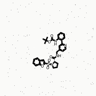 CC(C)(C)OC(=O)Nc1ccccc1-c1cc(CNC(=O)[C@@H]2CCCN2S(=O)(=O)c2cc3ccccc3o2)ccn1